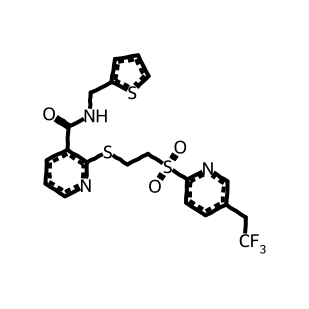 O=C(NCc1cccs1)c1cccnc1SCCS(=O)(=O)c1ccc(CC(F)(F)F)cn1